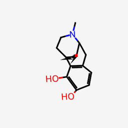 CN1CCC23CCC=CC2C1Cc1ccc(O)c(O)c13